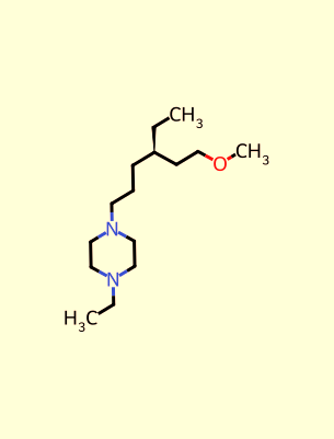 CC[C@H](CCCN1CCN(CC)CC1)CCOC